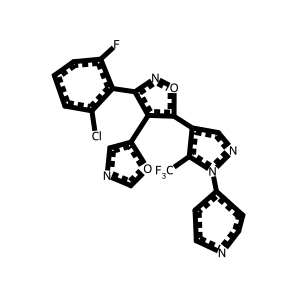 Fc1cccc(Cl)c1-c1noc(-c2cnn(-c3ccncc3)c2C(F)(F)F)c1-c1cnco1